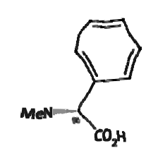 CN[C@@H](C(=O)O)c1ccccc1